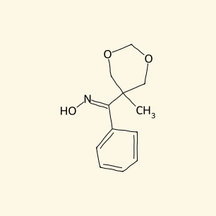 CC1(C(=NO)c2ccccc2)COCOC1